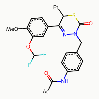 CCC1SC(=O)N(Cc2ccc(NC(=O)C(C)=O)cc2)N=C1c1ccc(OC)c(OC(F)F)c1